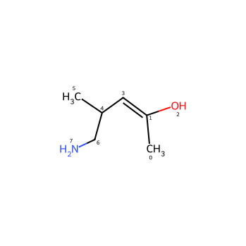 C/C(O)=C\C(C)CN